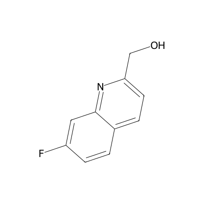 OCc1ccc2ccc(F)cc2n1